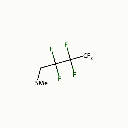 CSCC(F)(F)C(F)(F)C(F)(F)F